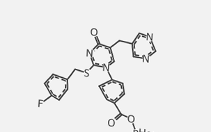 CCCCCCOC(=O)c1ccc(-n2cc(Cc3cncnc3)c(=O)nc2SCc2ccc(F)cc2)cc1